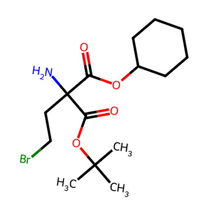 CC(C)(C)OC(=O)C(N)(CCBr)C(=O)OC1CCCCC1